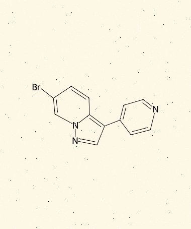 Brc1ccc2c(-c3ccncc3)cnn2c1